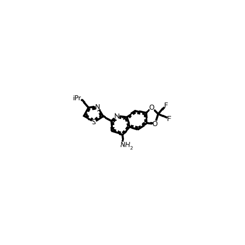 CC(C)c1csc(-c2cc(N)c3cc4c(cc3n2)OC(F)(F)O4)n1